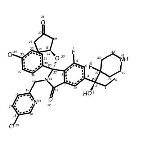 CC[C@](O)(c1cc(F)c2c(c1)C(=O)N(Cc1ccc(Cl)cn1)[C@@]2(O[C@H]1CCC(=O)C1)c1ccc(Cl)cc1)C1(F)CCNCC1